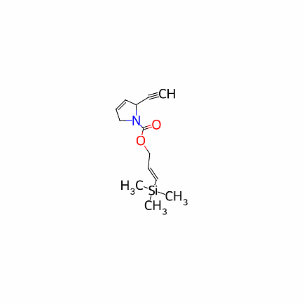 C#CC1C=CCN1C(=O)OCC=C[Si](C)(C)C